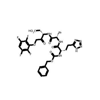 CC(C)[C@H](NC(=O)[C@H](CCc1nnn[nH]1)NC(=O)OCc1ccccc1)C(=O)N[C@@H](CC(=O)O)C(=O)COc1c(F)c(F)cc(F)c1F